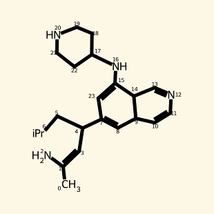 C/C(N)=C/C(CC(C)C)C1=CC2C=CN=CC2C(NC2CCNCC2)=C1